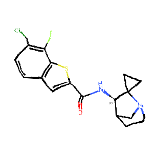 O=C(N[C@@H]1C2CCN(C2)C12CC2)c1cc2ccc(Cl)c(F)c2s1